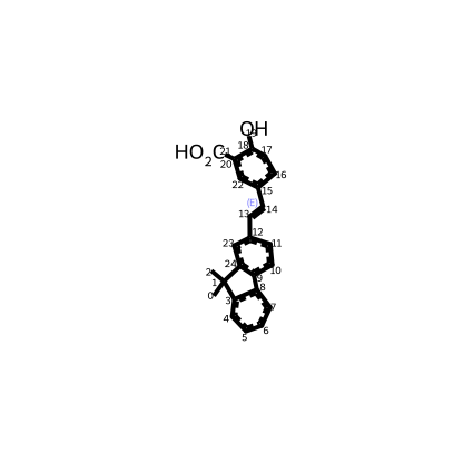 CC1(C)c2ccccc2-c2ccc(/C=C/c3ccc(O)c(C(=O)O)c3)cc21